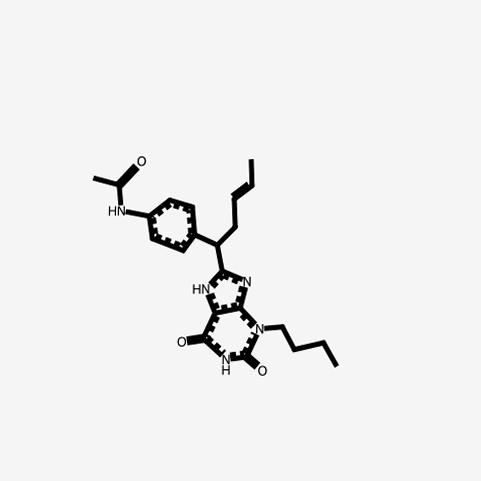 CC=CCC(c1ccc(NC(C)=O)cc1)c1nc2c([nH]1)c(=O)[nH]c(=O)n2CCCC